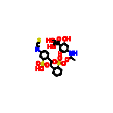 CC(=O)Nc1ccc([As](=O)(O)O)c(O)c1.O=S(=O)(O)c1ccccc1C=Cc1ccc(N=C=S)cc1S(=O)(=O)O